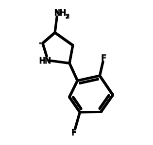 NC1[CH]NC(c2cc(F)ccc2F)C1